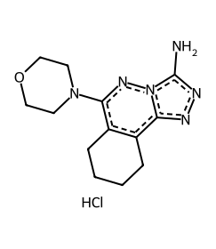 Cl.Nc1nnc2c3c(c(N4CCOCC4)nn12)CCCC3